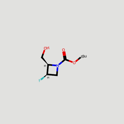 CC(C)(C)OC(=O)N1C[C@@H](F)[C@H]1CO